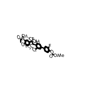 COC(=O)Oc1ccc(-c2ccc(C(C)C(O)(c3ccc4c(c3)N(C)C(=O)CO4)C(F)(F)F)c(Cl)c2)cc1F